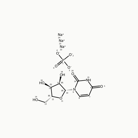 O=P([O-])([O-])[O-].O=c1ccn([C@@H]2O[C@H](CO)[C@@H](O)[C@H]2O)c(=O)[nH]1.[Na+].[Na+].[Na+]